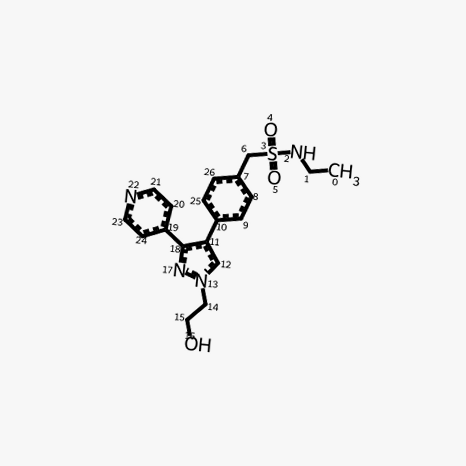 CCNS(=O)(=O)Cc1ccc(-c2cn(CCO)nc2-c2ccncc2)cc1